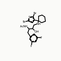 CC(=O)NC(Cc1cc(F)cc(F)c1)C(O)CNC1(c2cc(Br)sc2Br)CCCCC1